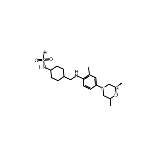 Cc1cc(N2CC(C)O[C@H](C)C2)ccc1NCC1CCC(NS(=O)(=O)C(C)C)CC1